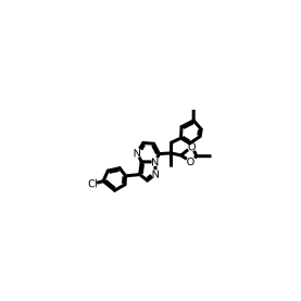 Cc1cccc(CC(C)(c2ccnc3c(-c4ccc(Cl)cc4)cnn23)C2OC(C)O2)c1